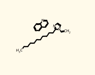 C=Cn1ccnc1CCCCCCCCCCC.c1ccc2ncccc2c1